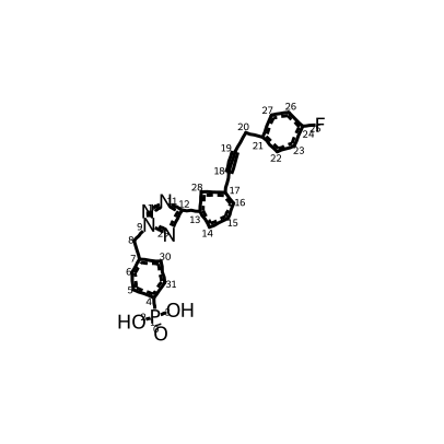 O=P(O)(O)c1ccc(Cn2nnc(-c3cccc(C#CCc4ccc(F)cc4)c3)n2)cc1